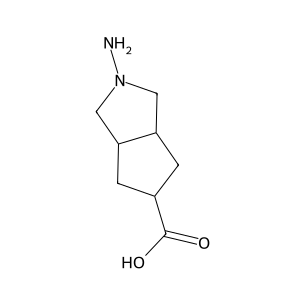 NN1CC2CC(C(=O)O)CC2C1